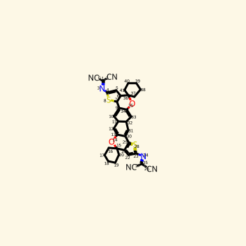 N#CC(C#N)=NC1=CC2C(S1)C1=CC3C=C4OC5(CCCCC5)c5cc(N=C(C#N)C#N)sc5C4=CC3C=C1OC21CCCCC1